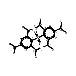 CC(C)c1cc(C(C)C)c(S(=O)(=O)c2c(C(C)C)cc(C(C)C)cc2C(C)C)c(C(C)C)c1